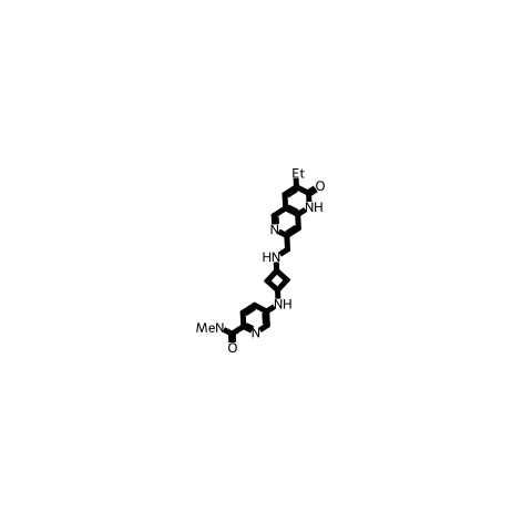 CCc1cc2cnc(CNC3CC(Nc4ccc(C(=O)NC)nc4)C3)cc2[nH]c1=O